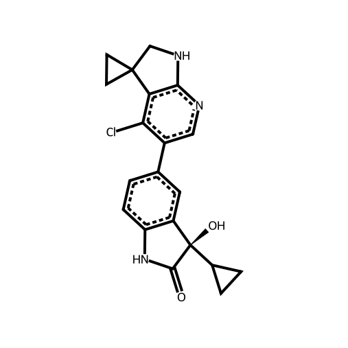 O=C1Nc2ccc(-c3cnc4c(c3Cl)C3(CC3)CN4)cc2[C@]1(O)C1CC1